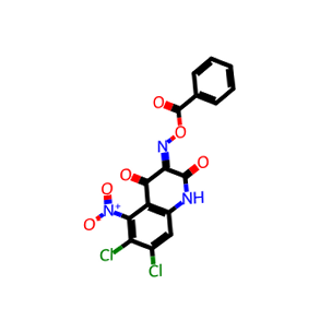 O=C1Nc2cc(Cl)c(Cl)c([N+](=O)[O-])c2C(=O)C1=NOC(=O)c1ccccc1